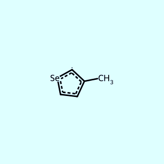 Cc1[c][se]cc1